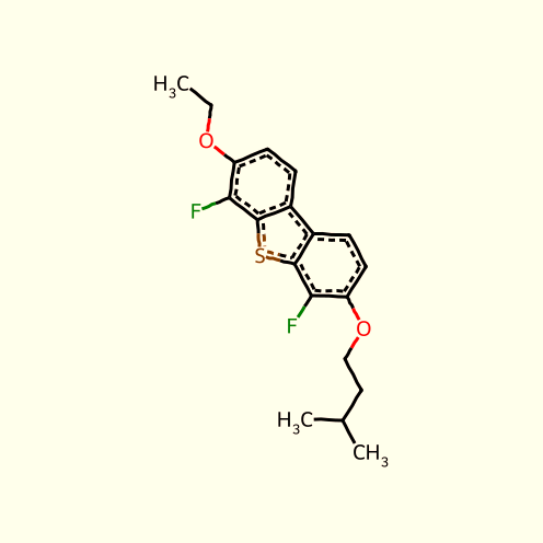 CCOc1ccc2c(sc3c(F)c(OCCC(C)C)ccc32)c1F